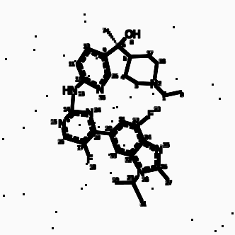 CCN1CCC([C@](C)(O)c2ccc(Nc3ncc(F)c(-c4cc(F)c5nc(C)n(C(C)C)c5c4)n3)nc2)CC1